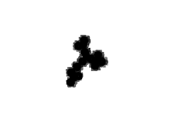 c1ccc(-n2c3ccccc3c3c(-c4ccc(-c5ccc(N(c6ccc(-c7cc8ccccc8c8ccccc78)cc6)c6ccc([Si](c7ccccc7)(c7ccccc7)c7ccccc7)cc6)cc5)cc4)cccc32)cc1